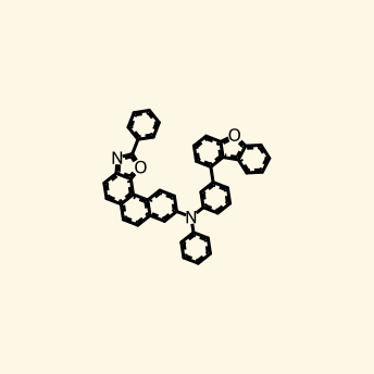 c1ccc(-c2nc3ccc4ccc5cc(N(c6ccccc6)c6cccc(-c7cccc8oc9ccccc9c78)c6)ccc5c4c3o2)cc1